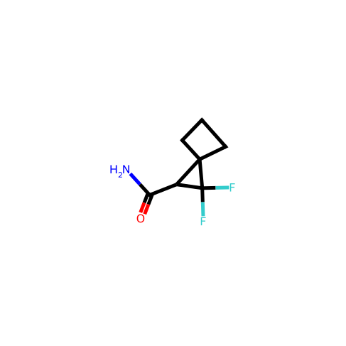 NC(=O)C1C(F)(F)C12CCC2